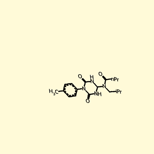 CCCC(=O)N(CC(C)C)C1NC(=O)N(c2ccc(C)cc2)C(=O)N1